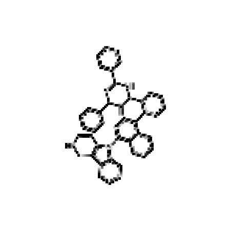 C1=Cc2c(c3ccccc3n2-c2ccc(-c3ccccc3C3NC(c4ccccc4)=NC(c4ccccc4)N3)c3ccccc23)CN1